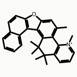 Cc1cc2oc3ccc4ccccc4c3c2c2c1-c1c(ccc[n+]1C)C(C)(C)C2(C)C